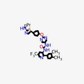 CCCNc1ncc(-c2ccc(Oc3ncc(NC(=O)Nc4cc(C(F)(F)F)cnc4-c4ccc(C)c(C)c4)cn3)cc2)s1